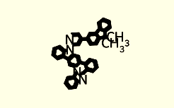 CC1(C)c2ccccc2-c2cc(-c3ccnc(-n4c5ccccc5c5cc6c(cc54)c4ccccc4c4nc5ccccc5n64)c3)ccc21